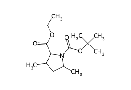 CCOC(=O)C1C(C)CC(C)N1C(=O)OC(C)(C)C